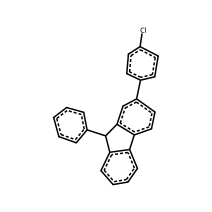 Clc1ccc(-c2ccc3c(c2)C(c2ccccc2)c2ccccc2-3)cc1